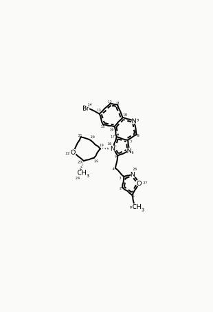 Cc1cc(Cc2nc3cnc4ccc(Br)cc4c3n2[C@H]2CCO[C@@H](C)C2)no1